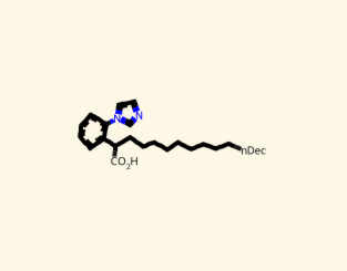 CCCCCCCCCCCCCCCCCCCC(C(=O)O)c1ccccc1-n1ccnc1